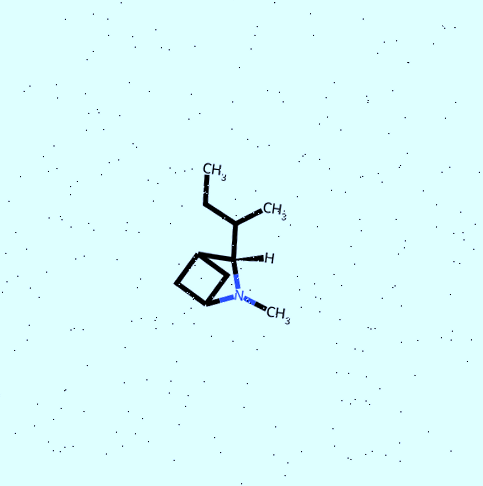 CCC(C)[C@H]1C2CC(C2)N1C